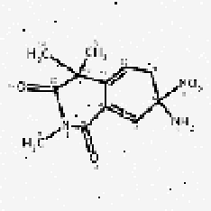 CN1C(=O)C2=CC(N)([N+](=O)[O-])CC=C2C(C)(C)C1=O